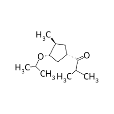 CC(C)O[C@H]1C[C@@H](C(=O)C(C)C)C[C@@H]1C